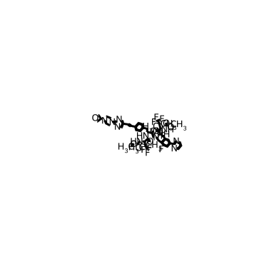 COC(=O)NC(C(=O)NC(Cc1ccc(C#Cc2cnc(N3CCN(C4COC4)CC3)nc2)cc1)C(O)CN(Cc1c(F)cc(-c2ncccn2)cc1F)NC(=O)C(NC(=O)OC)C(C)(C)C(F)(F)F)C(C)(C)C(F)(F)F